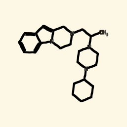 CC(CN1CCn2c(cc3ccccc32)C1)N1CCN(C2CCCCC2)CC1